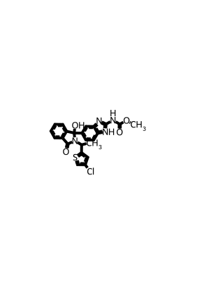 COC(=O)Nc1nc2cc(C3(O)c4ccccc4C(=O)N3C(C)c3cc(Cl)cs3)ccc2[nH]1